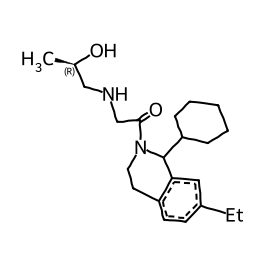 CCc1ccc2c(c1)C(C1CCCCC1)N(C(=O)CNC[C@@H](C)O)CC2